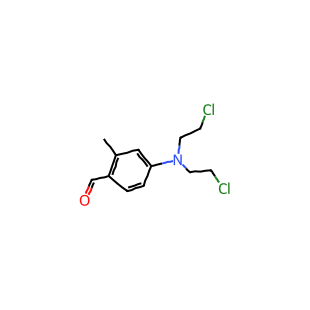 Cc1cc(N(CCCl)CCCl)ccc1C=O